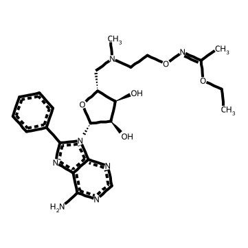 CCOC(C)=NOCCN(C)C[C@H]1O[C@@H](n2c(-c3ccccc3)nc3c(N)ncnc32)[C@H](O)[C@@H]1O